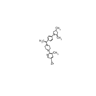 C=C(c1ccc(N2CC(C)CC2=C)cc1)N1CCN(c2ncc(C3CC3)cc2C)CC1